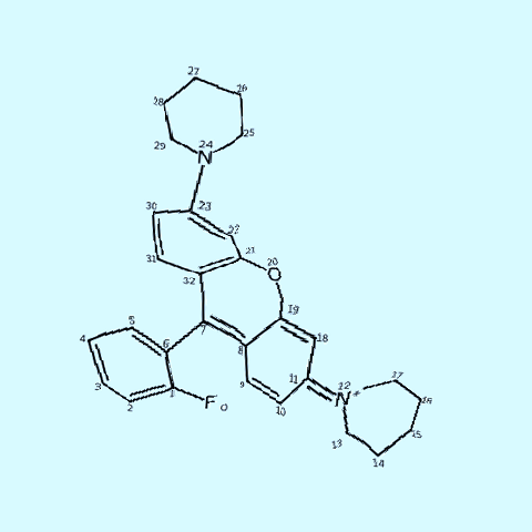 Fc1ccccc1-c1c2ccc(=[N+]3CCCCC3)cc-2oc2cc(N3CCCCC3)ccc12